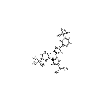 C=C(C)c1cc(-c2ccc(-c3cccc(S(C)(=O)=O)c3)s2)n(-c2cccc(C(C)(C)O)c2)n1